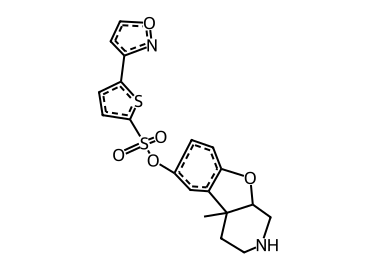 CC12CCNCC1Oc1ccc(OS(=O)(=O)c3ccc(-c4ccon4)s3)cc12